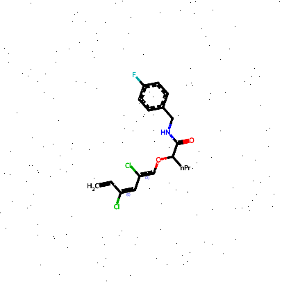 C=C/C(Cl)=C\C(Cl)=C\OC(CCC)C(=O)NCc1ccc(F)cc1